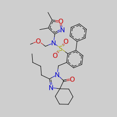 CCCCC1=NC2(CCCCC2)C(=O)N1Cc1cccc(-c2ccccc2)c1S(=O)(=O)N(COC)c1noc(C)c1C